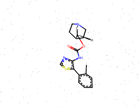 Cc1ccccc1-c1scnc1NC(=O)O[C@H]1CN2CCC1CC2